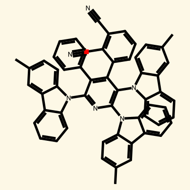 Cc1ccc2c(c1)c1ccccc1n2-c1nc(-n2c3ccccc3c3cc(C)ccc32)c(-n2c3ccccc3c3cc(C)ccc32)c(-c2cccc(C#N)c2C#N)c1-c1ccccc1